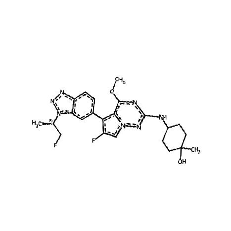 COc1nc(NC2CCC(C)(O)CC2)nn2cc(F)c(-c3ccc4nnn([C@H](C)CF)c4c3)c12